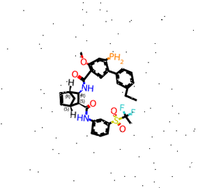 CCc1cccc(-c2cc(C(=O)N[C@H]3[C@@H](C(=O)Nc4cccc(S(=O)(=O)C(C)(F)F)c4)[C@@H]4C=C[C@H]3C4)c(OC)cc2P)c1